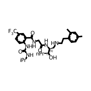 CCC[C@H](O)[C@H](CNCCc1ccc(C)cc1C)NC(=O)CNC(=O)c1cc(C(F)(F)F)ccc1NC(=O)NC(C)C